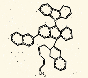 C=C/C=C\C=C/CC1Cc2ccccc2C=C1c1c2ccccc2c(-n2c3c(c4ccccc42)CCC=C3)c2ccc(-c3ccc4ccccc4c3)cc12